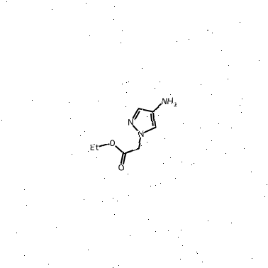 CCOC(=O)Cn1cc(N)cn1